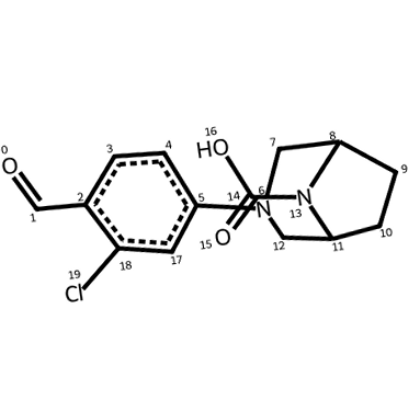 O=Cc1ccc(N2CC3CCC(C2)N3C(=O)O)cc1Cl